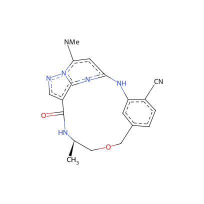 CNc1cc2nc3c(cnn13)C(=O)N[C@H](C)COCc1ccc(C#N)c(c1)N2